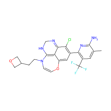 Cc1cc(C(F)(F)F)c(-c2cc3c4c(c2Cl)=NCNC=4N(CCC2COC2)C=CO3)nc1N